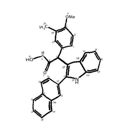 COc1ccc(C(C(=O)NO)c2c(-c3ccc4ccccc4c3)[nH]c3ccccc23)cc1C